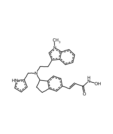 Cn1cc(CCN(Cc2ccc[nH]2)C2CCc3cc(C=CC(=O)NO)ccc32)c2ccccc21